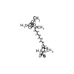 CCO[Si](OCC)(OCC)C(Cl)CCCCCCCCCCCC(CC)(CC)CCP(=O)=O